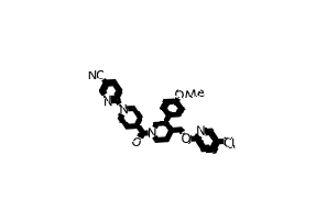 COc1ccc(C2CN(C(=O)C3CCN(c4ccc(C#N)cn4)CC3)CCC2COc2ccc(Cl)cn2)cc1